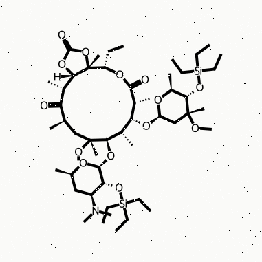 CC[C@@H]1OC(=O)[C@H](C)[C@H](O[C@@H]2C[C@@](C)(OC)[C@@H](O[Si](CC)(CC)CC)[C@H](C)O2)[C@H](C)[C@@H](O[C@@H]2O[C@H](C)C[C@H](N(C)C)[C@H]2O[Si](CC)(CC)CC)[C@](C)(OC)C[C@@H](C)C(=O)[C@H](C)[C@@H]2OC(=O)O[C@]12C